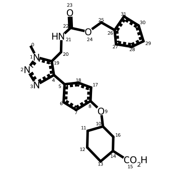 Cn1nnc(-c2ccc(OC3CCCC(C(=O)O)C3)cc2)c1CNC(=O)OCc1ccccc1